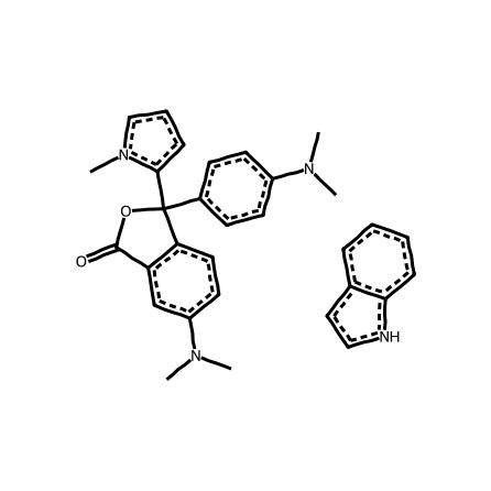 CN(C)c1ccc(C2(c3cccn3C)OC(=O)c3cc(N(C)C)ccc32)cc1.c1ccc2[nH]ccc2c1